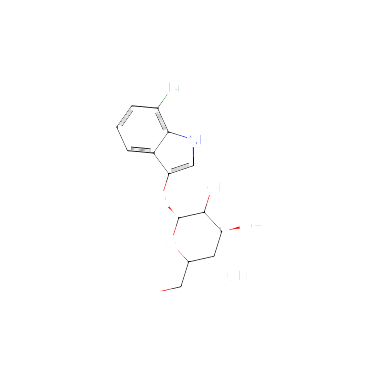 OCC1O[C@@H](Oc2c[nH]c3c(Br)cccc23)C(O)[C@@H](O)[C@@H]1O